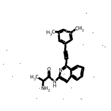 Cc1cc(C)cc(C#Cc2nc(NC(=O)C(C)N)cc3ccccc23)c1